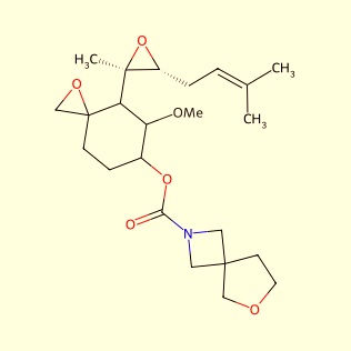 COC1C(OC(=O)N2CC3(CCOC3)C2)CCC2(CO2)C1[C@@]1(C)O[C@@H]1CC=C(C)C